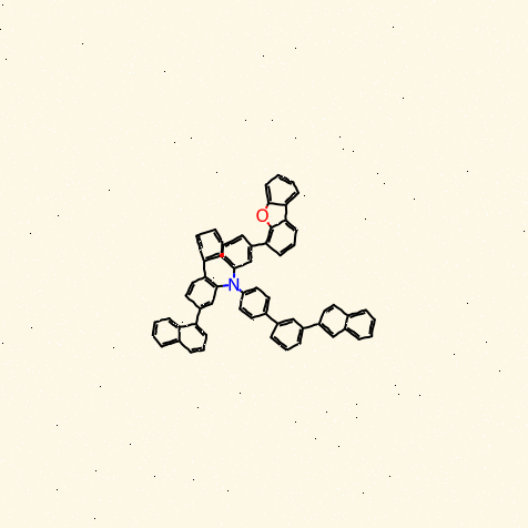 c1ccc(-c2ccc(-c3cccc4ccccc34)cc2N(c2ccc(-c3cccc(-c4ccc5ccccc5c4)c3)cc2)c2cccc(-c3cccc4c3oc3ccccc34)c2)cc1